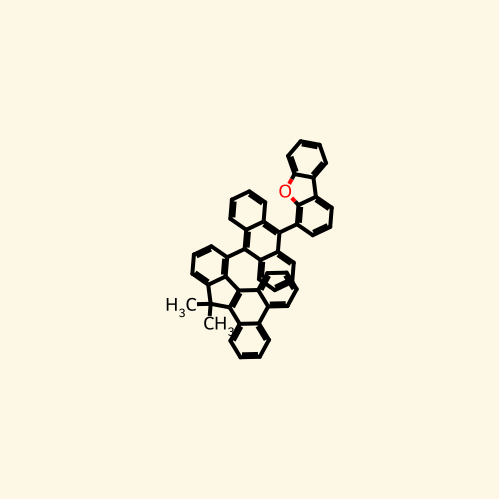 CC1(C)c2cccc(-c3c4ccccc4c(-c4cccc5c4oc4ccccc45)c4ccccc34)c2-c2c1c1ccccc1c1ccccc21